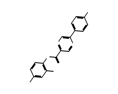 CCCCCCCCCc1ccc(OC(=O)c2cnc(-c3ccc(CCCCCCCC)cc3)cn2)c(F)c1